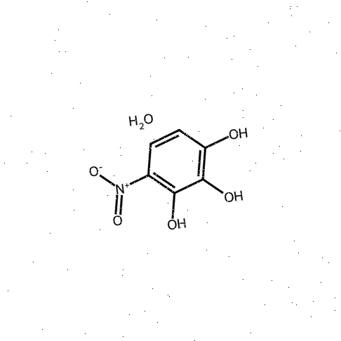 O.O=[N+]([O-])c1ccc(O)c(O)c1O